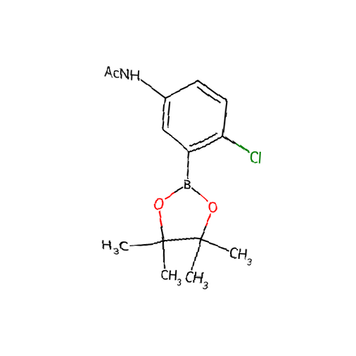 CC(=O)Nc1ccc(Cl)c(B2OC(C)(C)C(C)(C)O2)c1